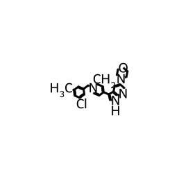 C=C1C=C(c2c[nH]c3ncc(N4CCOCC4)cc23)C=CN1Cc1cc(C)cc(Cl)c1